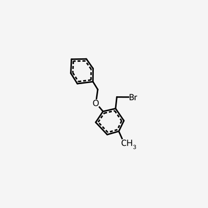 Cc1ccc(OCc2ccccc2)c(CBr)c1